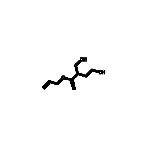 C=CCOC(=O)C(CO)CCO